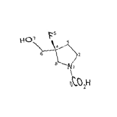 O=C(O)N1CC[C@@](F)(CO)C1